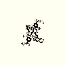 CCn1nc(C)cc1C(=O)/N=c1/[nH]c2cc(C(N)=O)cc(OC)c2n1CCCCn1/c(=N\C(=O)c2cc(C)nn2CC)[nH]c2cc(C(N)=O)cc(OCCCN3CCOCC3)c21